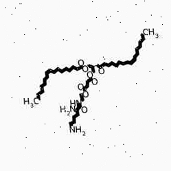 CCCCCCCC/C=C\CCCCCCCC(=O)C[C@@H](COC(=O)CCCCCCC/C=C\CCCCCCCC)COC(=O)CCC(=O)OCCNC(=O)C(N)CCCCN